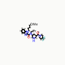 COCCCCn1c(C(=O)N(CC(C)C)[C@@H]2CNCC(C(=O)N3CCC(F)(F)CC3)C2)nc2ccccc21